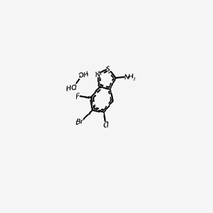 Nc1snc2c(F)c(Br)c(Cl)cc12.OO